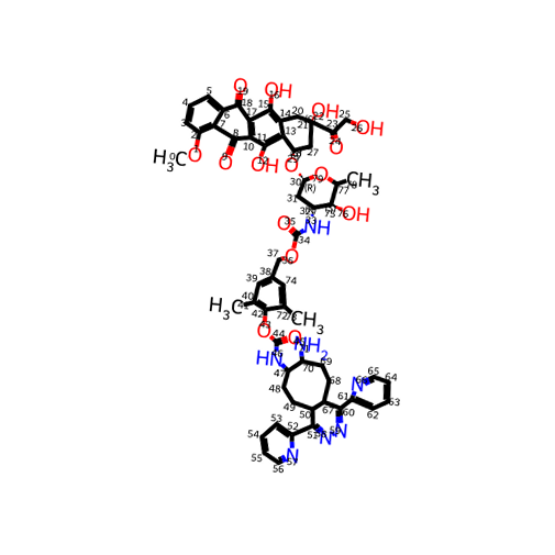 COc1cccc2c1C(=O)c1c(O)c3c(c(O)c1C2=O)C[C@@](O)(C(=O)CO)C[C@@H]3O[C@H]1C[C@@H](NC(=O)OCc2cc(C)c(OC(=O)NC3CCC4C(c5ccccn5)=NN=C(c5ccccn5)C4CCC3N)c(C)c2)[C@H](O)C(C)O1